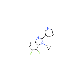 Fc1ccc2nc(-c3cccnc3)n(C3CC3)c2c1F